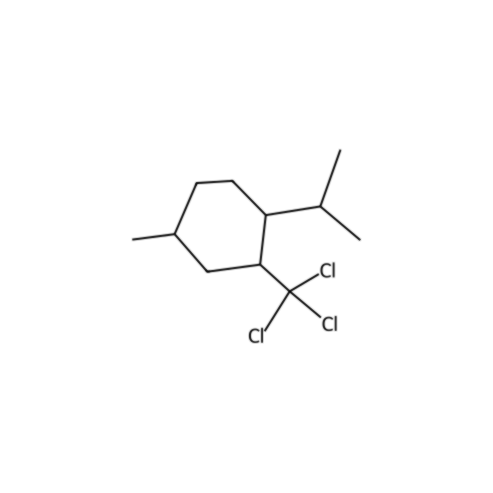 CC1CCC(C(C)C)C(C(Cl)(Cl)Cl)C1